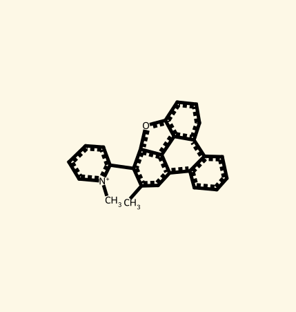 Cc1cc2c3ccccc3c3cccc4oc(c1-c1cccc[n+]1C)c2c43